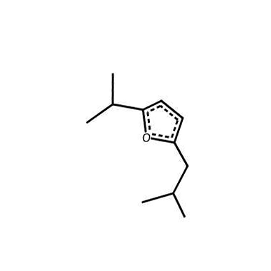 CC(C)Cc1ccc(C(C)C)o1